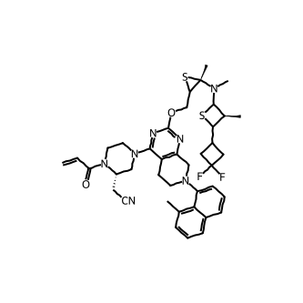 C=CC(=O)N1CCN(c2nc(OCC3S[C@]3(C)N(C)C3SC(C4CC(F)(F)C4)[C@@H]3C)nc3c2CCN(c2cccc4cccc(C)c24)C3)C[C@@H]1CC#N